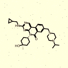 CC(C)N1CCN(Cc2ccc3c(c2)c(=O)n([C@H]2CC[C@](C)(O)CC2)c2nc(NCC4CC4)ncc32)CC1